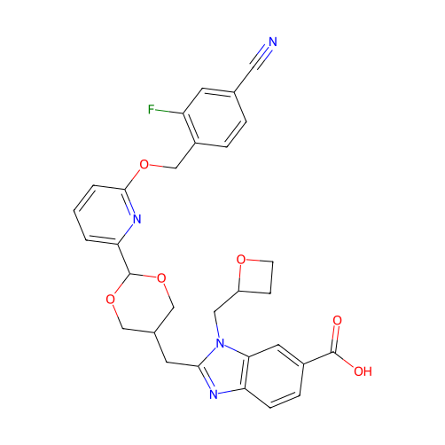 N#Cc1ccc(COc2cccc(C3OCC(Cc4nc5ccc(C(=O)O)cc5n4CC4CCO4)CO3)n2)c(F)c1